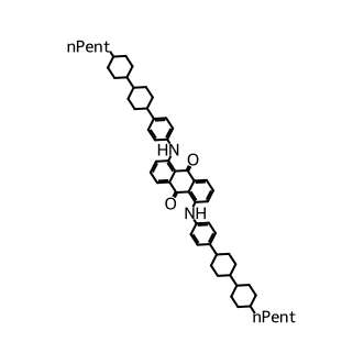 CCCCCC1CCC(C2CCC(c3ccc(Nc4cccc5c4C(=O)c4cccc(Nc6ccc(C7CCC(C8CCC(CCCCC)CC8)CC7)cc6)c4C5=O)cc3)CC2)CC1